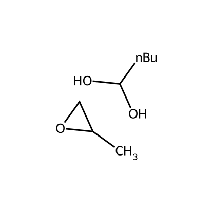 CC1CO1.CCCCC(O)O